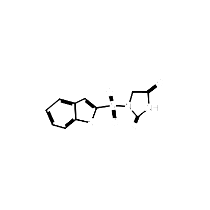 O=C1CN(S(=O)(=O)c2cc3ccccc3s2)C(=S)N1